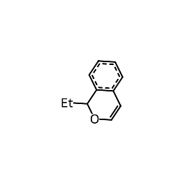 [CH2]CC1OC=Cc2ccccc21